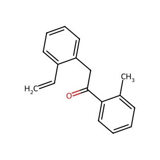 C=Cc1ccccc1CC(=O)c1ccccc1C